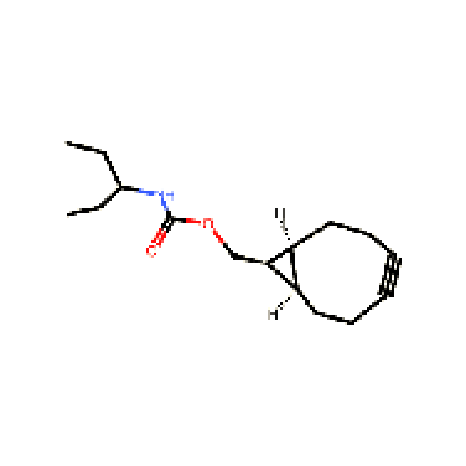 CCC(CC)NC(=O)OC[C@@H]1[C@@H]2CCC#CCC[C@@H]21